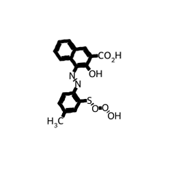 Cc1ccc(N=Nc2c(O)c(C(=O)O)cc3ccccc23)c(SOOO)c1